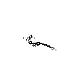 CCCCCCCCCCc1ccc(-c2noc([C@H]3CCN(C(=O)OC(C)(C)C)C3)n2)cc1